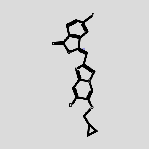 O=C1O/C(=C\c2cn3cc(OCC4CC4)c(Cl)cc3n2)c2cc(F)ccc21